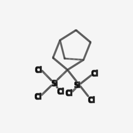 Cl[Si](Cl)(Cl)C1([Si](Cl)(Cl)Cl)CC2CCC1C2